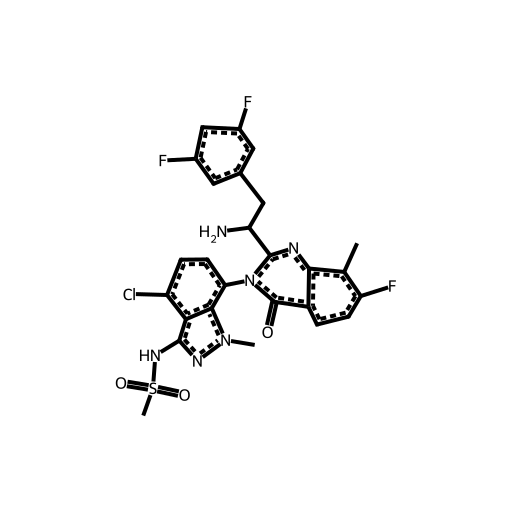 Cc1c(F)ccc2c(=O)n(-c3ccc(Cl)c4c(NS(C)(=O)=O)nn(C)c34)c(C(N)Cc3cc(F)cc(F)c3)nc12